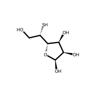 OC[C@H](S)[C@H]1O[C@H](O)[C@H](O)[C@@H]1O